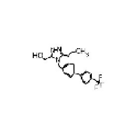 CCCc1nnc(CO)n1Cc1ccc(-c2ccc(C(F)(F)F)cc2)cc1